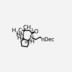 CCCCCCCCCCCCN1C(=O)CC(C)(C)N[C@@H]2CCCC[C@H]21